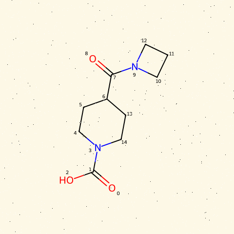 O=C(O)N1CCC(C(=O)N2CCC2)CC1